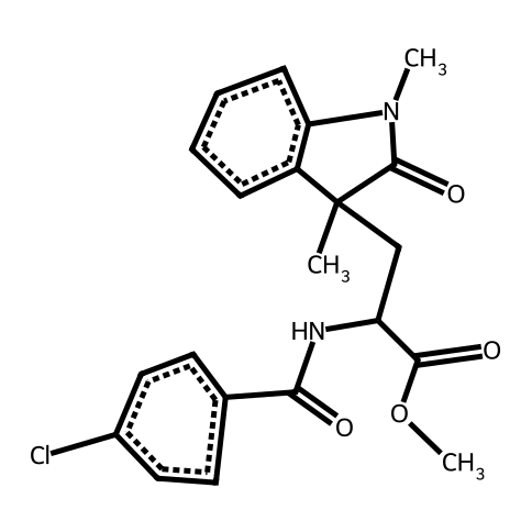 COC(=O)C(CC1(C)C(=O)N(C)c2ccccc21)NC(=O)c1ccc(Cl)cc1